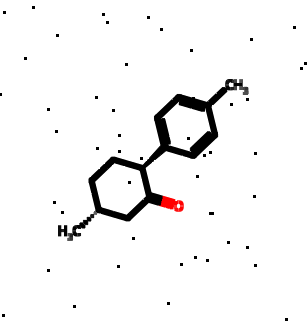 Cc1ccc([C@@H]2CC[C@@H](C)CC2=O)cc1